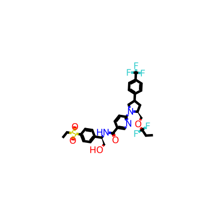 CCC(F)(F)OC[C@@H]1CC(c2ccc(C(F)(F)F)cc2)CN1c1ccc(C(=O)N[C@@H](CO)c2ccc(S(=O)(=O)CC)cc2)cn1